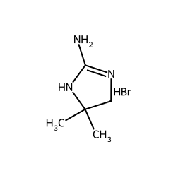 Br.CC1(C)CN=C(N)N1